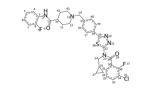 O=C(Nc1ccccc1F)C1CCN(Cc2ccc(-c3nnc(N(CC4CC4)C(=O)c4cccc(Cl)c4F)s3)cc2)CC1